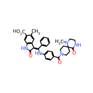 Cc1cc2c(cc1C(=O)O)NC(=O)C2=C(Nc1ccc(C(=O)N2CCC3(CC2)C(=O)NCCN3C)cc1)c1ccccc1